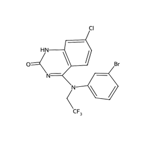 O=c1nc(N(CC(F)(F)F)c2cccc(Br)c2)c2ccc(Cl)cc2[nH]1